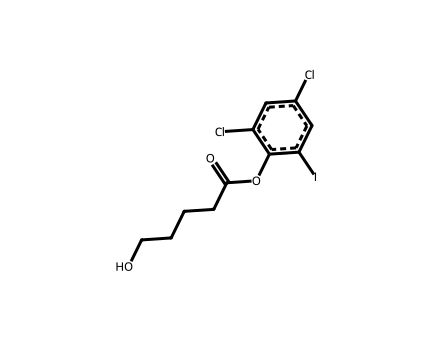 O=C(CCCCO)Oc1c(Cl)cc(Cl)cc1I